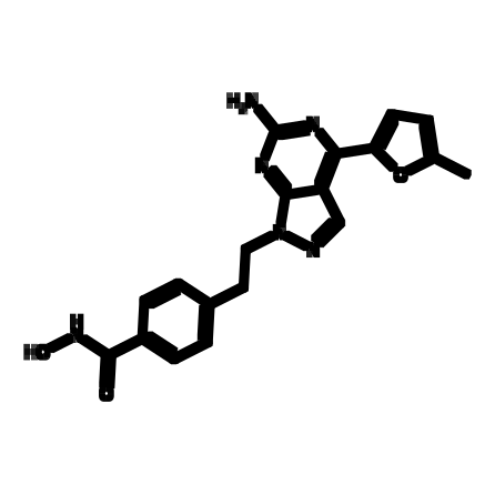 Cc1ccc(-c2nc(N)nc3c2cnn3CCc2ccc(C(=O)NO)cc2)o1